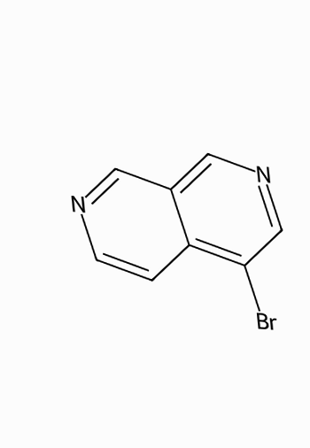 Brc1cncc2cnccc12